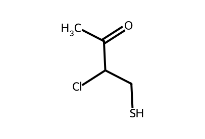 CC(=O)C(Cl)CS